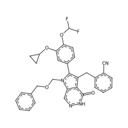 N#Cc1ccccc1Cc1c(-c2ccc(OC(F)F)c(OC3CC3)c2)n(COCc2ccccc2)c2cn[nH]c(=O)c12